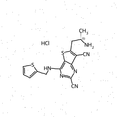 C[C@H](N)Cc1sc2c(NCc3cccs3)nc(C#N)nc2c1C#N.Cl